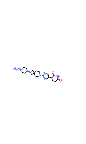 NN1CCC(N2CC3(CCN(c4ncc(C5CCC(=O)NC5=O)cn4)CC3)C2)CC1